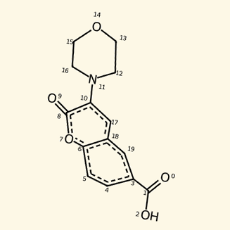 O=C(O)c1ccc2oc(=O)c(N3CCOCC3)cc2c1